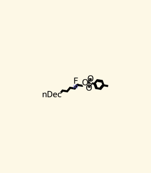 CCCCCCCCCCCCC/C=C(\F)COS(=O)(=O)c1ccc(C)cc1